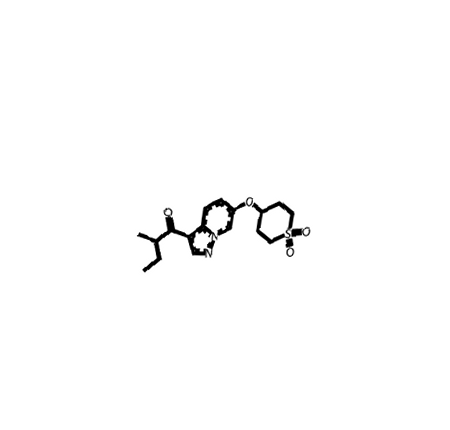 CCC(C)C(=O)c1cnn2cc(OC3CCS(=O)(=O)CC3)ccc12